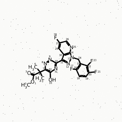 COC(=O)C(C)(C)c1nnc(-c2nn(Cc3c(F)ccc(F)c3F)c3ncc(F)cc23)nc1O